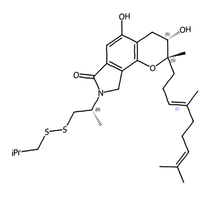 CC(C)=CCC/C(C)=C/CC[C@]1(C)Oc2c(c(O)cc3c2CN([C@H](C)CSSCC(C)C)C3=O)C[C@@H]1O